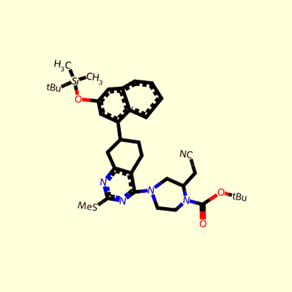 CSc1nc2c(c(N3CCN(C(=O)OC(C)(C)C)C(CC#N)C3)n1)CCC(c1cc(O[Si](C)(C)C(C)(C)C)cc3ccccc13)C2